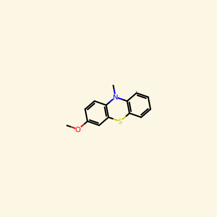 COc1ccc2c(c1)Sc1ccc[c]c1N2C